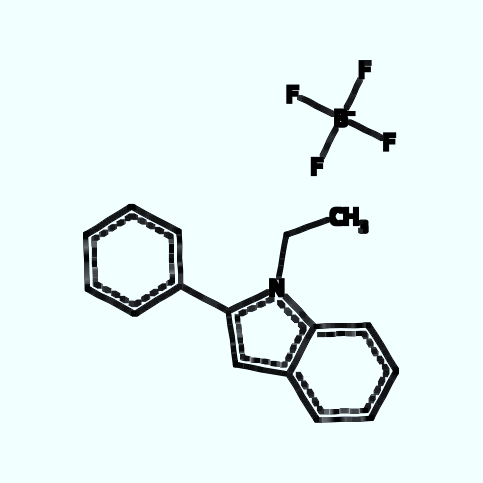 CCn1c(-c2ccccc2)cc2ccccc21.F[B-](F)(F)F